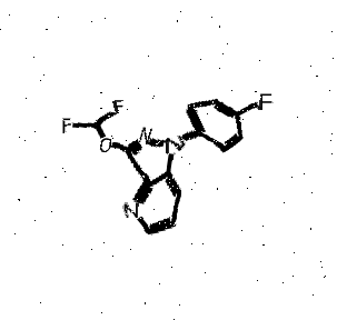 Fc1ccc(-n2nc(OC(F)F)c3ncccc32)cc1